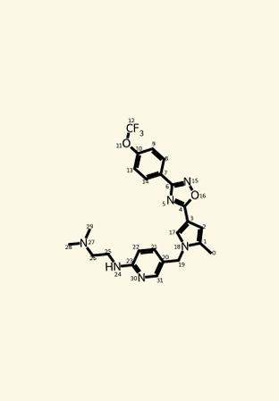 Cc1cc(-c2nc(-c3ccc(OC(F)(F)F)cc3)no2)cn1Cc1ccc(NCCN(C)C)nc1